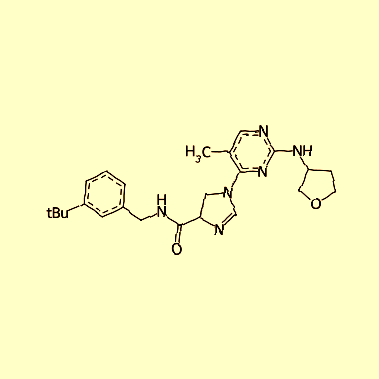 Cc1cnc(NC2CCOC2)nc1N1C=NC(C(=O)NCc2cccc(C(C)(C)C)c2)C1